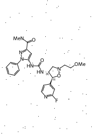 CNC(=O)c1cc(NC(=O)N[C@@H]2CN(CCOC)O[C@H]2c2ccnc(F)c2)n(-c2ccccc2)n1